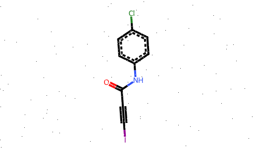 O=C(C#CI)Nc1ccc(Cl)cc1